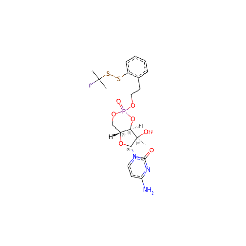 CC(C)(I)SSc1ccccc1CCOP1(=O)OC[C@H]2O[C@@H](n3ccc(N)nc3=O)[C@](C)(O)[C@@H]2O1